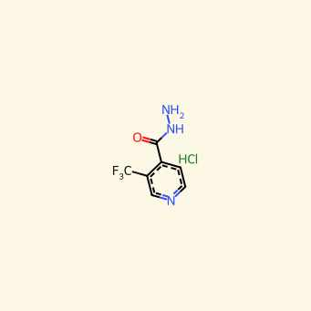 Cl.NNC(=O)c1ccncc1C(F)(F)F